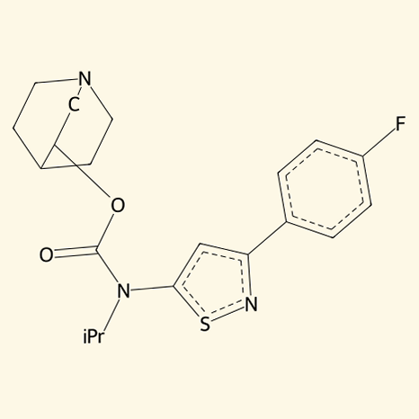 CC(C)N(C(=O)OC1CN2CCC1CC2)c1cc(-c2ccc(F)cc2)ns1